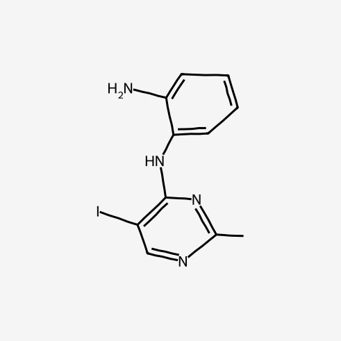 Cc1ncc(I)c(Nc2ccccc2N)n1